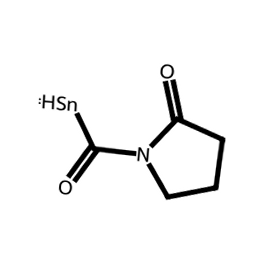 O=[C]([SnH])N1CCCC1=O